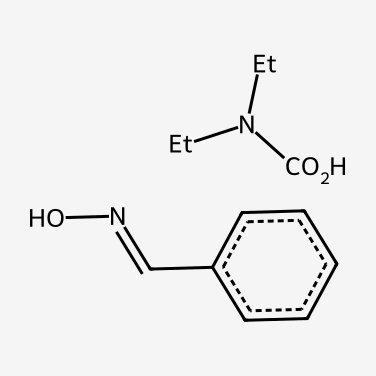 CCN(CC)C(=O)O.ON=Cc1ccccc1